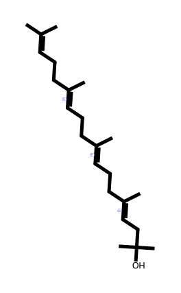 CC(C)=CCC/C(C)=C/CC/C(C)=C/CC/C(C)=C/CC(C)(C)O